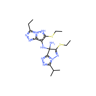 CCSC1=Nn2c(C(C)C)nnc2C1(N)Nc1c(SCC)[nH]n2c(CC)nnc12